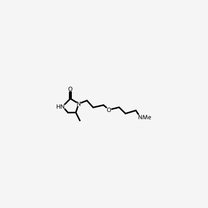 CNCCCOCCCN1C(=O)NCC1C